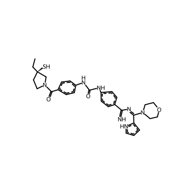 CC[C@@]1(S)CCN(C(=O)c2ccc(NC(=O)Nc3ccc(C(=N)/N=C(\c4ccc[nH]4)N4CCOCC4)cc3)cc2)C1